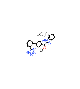 CCOC(=O)c1cccc2nc(C(OCC)c3ccc(-c4ccccc4-c4nnn[nH]4)cc3)[nH]c12